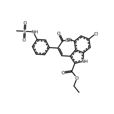 CCOC(=O)c1[nH]c2cc(Cl)cc(Cl)c2c1/C=C(\C(=O)O)c1cccc(NS(C)(=O)=O)c1